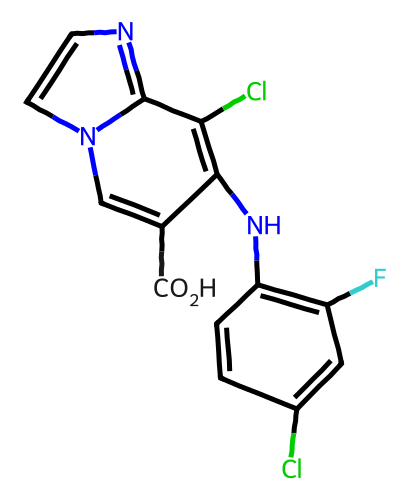 O=C(O)c1cn2ccnc2c(Cl)c1Nc1ccc(Cl)cc1F